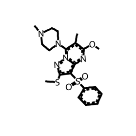 COc1nc2c(S(=O)(=O)c3ccccc3)c(SC)nn2c(N2CCN(C)CC2)c1C